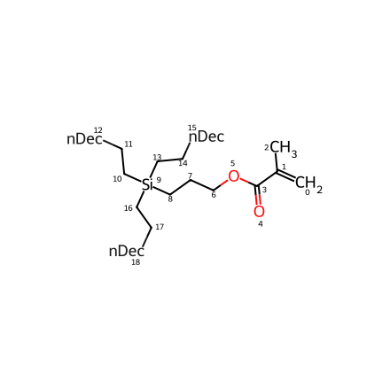 C=C(C)C(=O)OCCC[Si](CCCCCCCCCCCC)(CCCCCCCCCCCC)CCCCCCCCCCCC